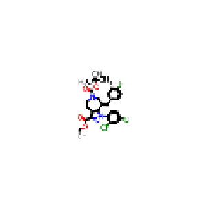 CCOC(=O)c1nn(-c2ccc(Cl)cc2Cl)c2c1CCN(C(=O)OC(C)(C)C)C/C2=C\c1ccc(F)cc1